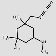 CNC1CC(C)(C)CC(C)(CN=C=O)C1